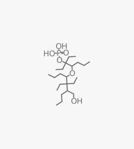 CCCC(OC(CCC)C(CC)(CC)C(CO)CCC)C(CC)(CC)OP(=O)(O)O